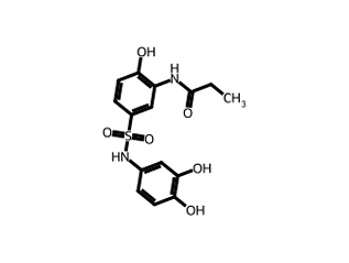 CCC(=O)Nc1cc(S(=O)(=O)Nc2ccc(O)c(O)c2)ccc1O